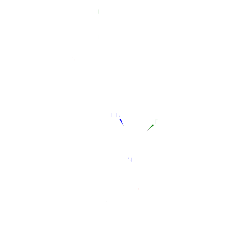 CC(C)(C)OC(=O)N1C[C@H](F)[C@H](Nc2cccc3c(CC(F)(F)F)c(C=O)sc23)C1